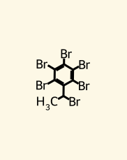 CC(Br)c1c(Br)c(Br)c(Br)c(Br)c1Br